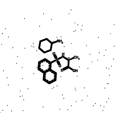 C[C@H](NS(=O)(=O)c1cccc2ccccc12)C(=O)O.NC1CCCCC1